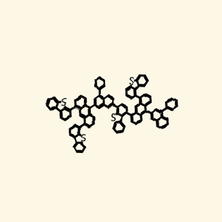 c1ccc(-c2cc(-c3c4cccc(-c5cccc6sc7ccccc7c56)c4cc4c(-c5ccc(-c6ccc7c(-c8ccccc8)cc(-c8c9cccc(-c%10cccc%11c%10sc%10ccccc%10%11)c9cc9c(-c%10cccc%11c%10sc%10ccccc%10%11)cccc89)cc7c6)c6sc7ccccc7c56)cccc34)cc3ccccc23)cc1